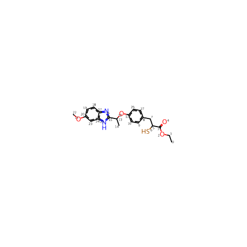 CCOC(=O)C(S)Cc1ccc(OC(C)c2nc3ccc(OC)cc3[nH]2)cc1